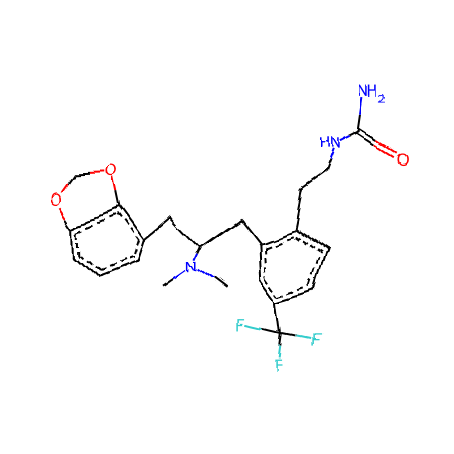 CN(C)C(Cc1cc(C(F)(F)F)ccc1CCNC(N)=O)Cc1cccc2c1OCO2